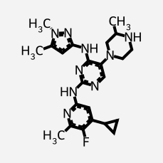 Cc1nc(Nc2ncc(N3CCNC(C)C3)c(Nc3cc(C)n(C)n3)n2)cc(C2CC2)c1F